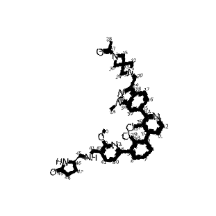 COc1nc(-c2cccc(-c3ccnc(-c4ccc5c(CN6CC7(C6)CN(C(C)=O)C7)nn(C)c5c4)c3Cl)c2Cl)ccc1CNC[C@H]1CCC(=O)N1